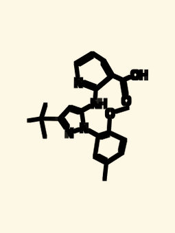 COc1ccc(C)cc1-n1nc(C(C)(C)C)cc1Nc1ncccc1C(=O)O